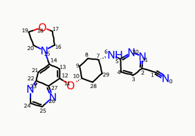 N#Cc1ccc(N[C@H]2CC[C@@H](Oc3cc(N4CCOCC4)cc4nccnc34)CC2)nn1